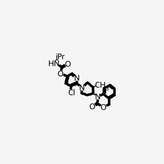 CC(C)NC(=O)Oc1cnc(N2CC[C@H](N3C(=O)OCc4ccccc43)[C@@H](C)C2)c(Cl)c1